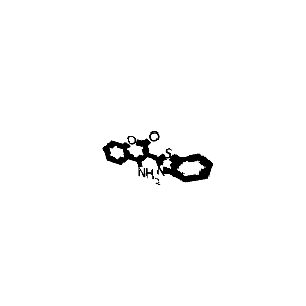 Nc1c(-c2nc3ccccc3s2)c(=O)oc2ccccc12